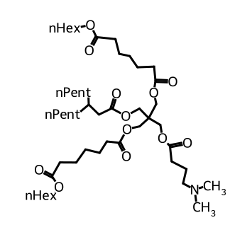 CCCCCCOC(=O)CCCCCC(=O)OCC(COC(=O)CCCCCC(=O)OCCCCCC)(COC(=O)CCCN(C)C)COC(=O)CC(CCCCC)CCCCC